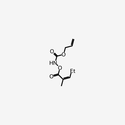 C=CCOC(=O)NOC(=O)C(C)=CCC